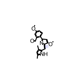 COC1=CC(c2ccc(OC)cc2C=O)=N/C1=C\c1[nH]c(C)cc1C